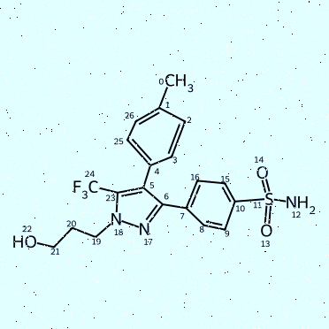 Cc1ccc(-c2c(-c3ccc(S(N)(=O)=O)cc3)nn(CCCO)c2C(F)(F)F)cc1